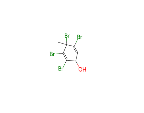 CC1(Br)C(Br)=CC(O)C(Br)=C1Br